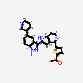 CC(=O)c1ccc(-c2nccc3[nH]c(-c4n[nH]c5ccc(-c6cccnc6)cc45)cc23)s1